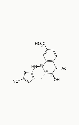 CC(=O)N1c2ccc(C(=O)O)cc2[C@H](Nc2ccc(C#N)s2)[C@@H](C)[C@@H]1O